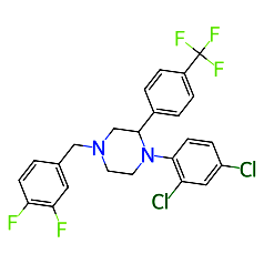 Fc1ccc(CN2CCN(c3ccc(Cl)cc3Cl)C(c3ccc(C(F)(F)F)cc3)C2)cc1F